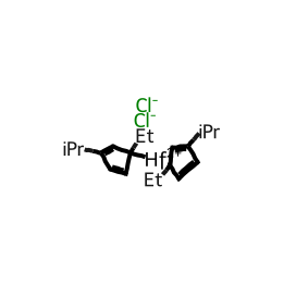 CC[C]1([Hf+2][C]2(CC)C=CC(C(C)C)=C2)C=CC(C(C)C)=C1.[Cl-].[Cl-]